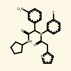 O=C(NC1CCCC1)C(c1cccc([N+](=O)[O-])c1)N(C(=O)Cc1cccs1)c1cccc(F)c1